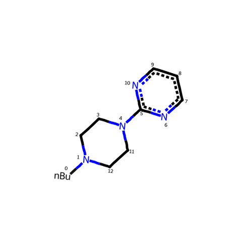 [CH2]CCCN1CCN(c2ncccn2)CC1